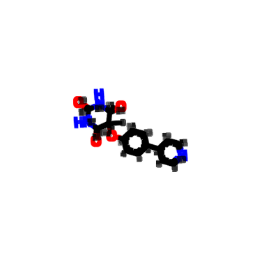 CC1(Oc2ccc(-c3ccncc3)cc2)C(=O)NC(=O)NC1=O